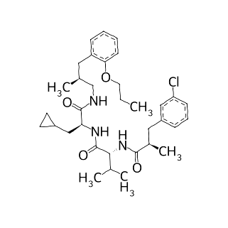 CCCOc1ccccc1C[C@H](C)CNC(=O)[C@H](CC1CC1)NC(=O)[C@H](NC(=O)[C@H](C)Cc1cccc(Cl)c1)C(C)C